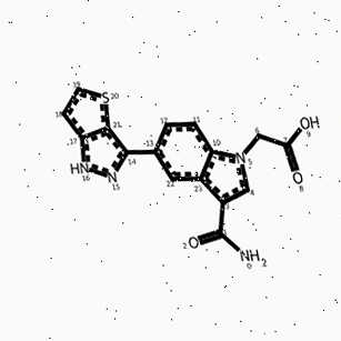 NC(=O)c1cn(CC(=O)O)c2ccc(-c3n[nH]c4ccsc34)cc12